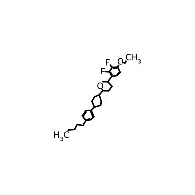 CCCCCc1ccc(C2CCC(C3CCC(c4ccc(OCC)c(F)c4F)CO3)CC2)cc1